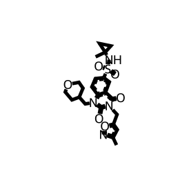 Cc1cc(Cn2c(=O)c3cc(S(=O)(=O)NC4(C)CC4)ccc3n(CC3CCOCC3)c2=O)on1